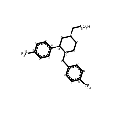 O=C(O)C[C@H]1CCN(Cc2ccc(C(F)(F)F)cc2)[C@@H](c2ccc(C(F)(F)F)cc2)C1